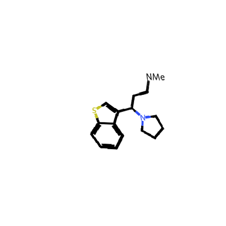 CNCCC(c1csc2ccccc12)N1CCCC1